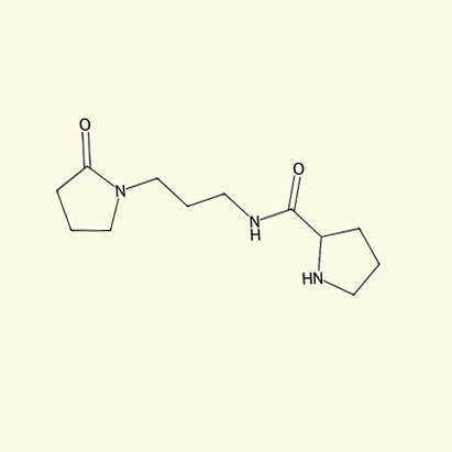 O=C(NCCCN1CCCC1=O)C1CCCN1